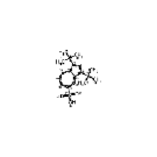 CC(C)(C)c1cc(C(C)(C)C)c2cc(S(=O)(=O)O)cccc1-2